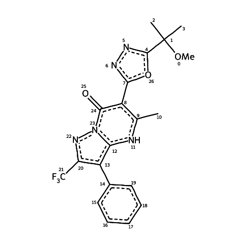 COC(C)(C)c1nnc(-c2c(C)[nH]c3c(-c4ccccc4)c(C(F)(F)F)nn3c2=O)o1